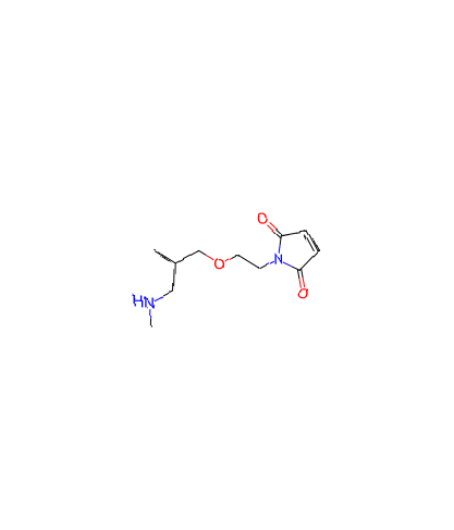 CNCC(C)COCCN1C(=O)C=CC1=O